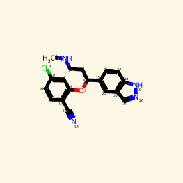 CNCCC(Oc1cc(Cl)ccc1C#N)c1ccc2[nH]ncc2c1